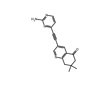 CC1(C)CC(=O)c2cc(C#Cc3ccnc(N)n3)cnc2C1